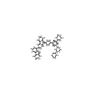 c1ccc(-c2cccc(-c3nc(-c4ccccc4)nc(-c4ccc(-n5c6ccccc6c6cc(-c7cccc8c7oc7ccccc78)ccc65)cc4)n3)c2)cc1